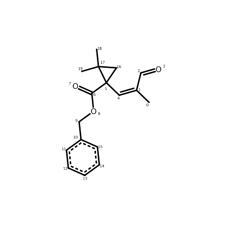 CC(C=O)=CC1(C(=O)OCc2ccccc2)CC1(C)C